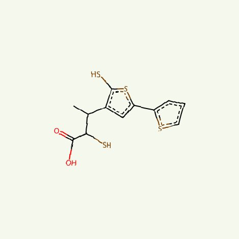 CC(c1cc(-c2cccs2)sc1S)C(S)C(=O)O